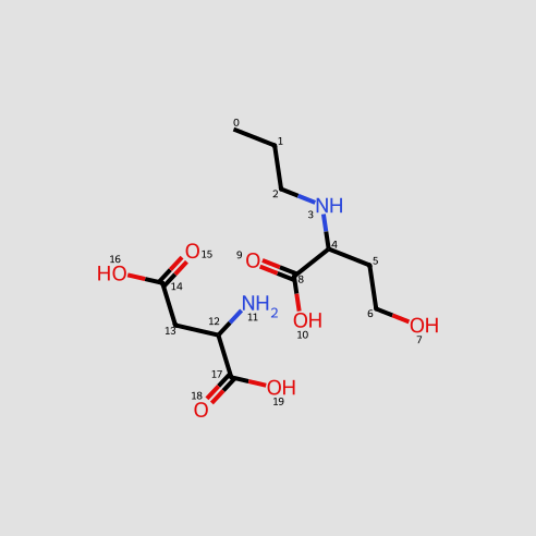 CCCNC(CCO)C(=O)O.NC(CC(=O)O)C(=O)O